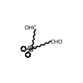 CC(C)(C)[Si](OC(CCCCCCCCC=O)CCCCCCCCC=O)(c1ccccc1)c1ccccc1